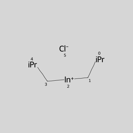 CC(C)[CH2][In+][CH2]C(C)C.[Cl-]